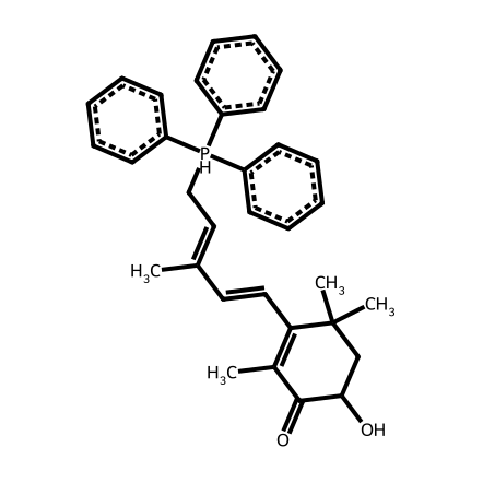 CC(C=CC1=C(C)C(=O)C(O)CC1(C)C)=CC[PH](c1ccccc1)(c1ccccc1)c1ccccc1